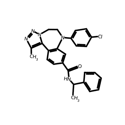 Cc1nnn2c1-c1ccc(C(=O)NC(C)c3ccccc3)cc1N(c1ccc(Cl)cc1)CC2